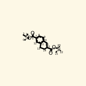 C[Si](C)(C)OC(=O)c1ccc2c(c1)CCC(C(=O)O[Si](C)(C)C)C2